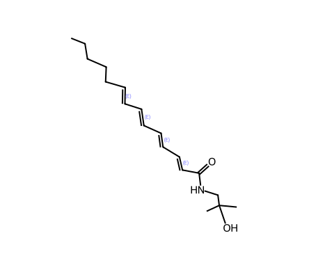 CCCCC/C=C/C=C/C=C/C=C/C(=O)NCC(C)(C)O